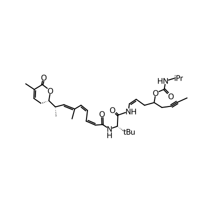 CC#CCC(C/C=C\NC(=O)[C@@H](NC(=O)\C=C/C=C\C(C)=C\[C@H](C)[C@@H]1CC=C(C)C(=O)O1)C(C)(C)C)OC(=O)NC(C)C